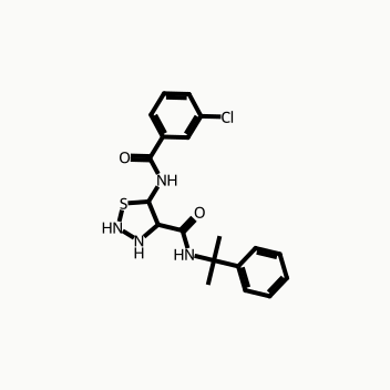 CC(C)(NC(=O)C1NNSC1NC(=O)c1cccc(Cl)c1)c1ccccc1